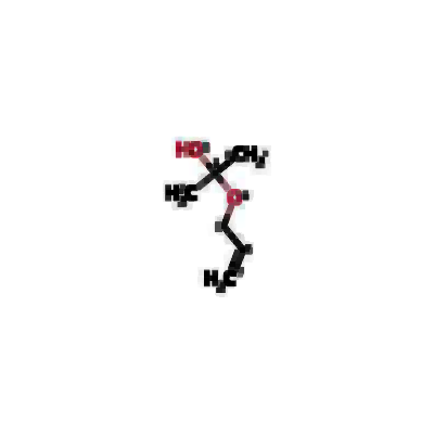 [CH2]C(C)(O)OCC=C